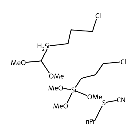 COC(OC)[SiH2]CCCCl.CO[Si](CCCCl)(OC)OC.[CH2]CCSC#N